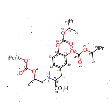 CCCC(C)OC(=O)OC(C)CN[C@@H](Cc1ccc(OC(=O)OC(C)C(C)C)c(OC(=O)OC(C)C(C)C)c1)C(=O)O